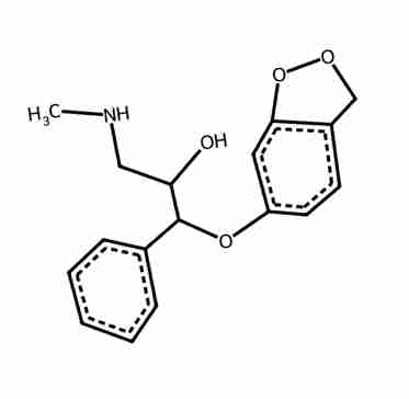 CNCC(O)C(Oc1ccc2c(c1)OOC2)c1ccccc1